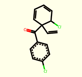 C=CC1(C(=O)c2ccc(Cl)cc2)C=CC=CC1Cl